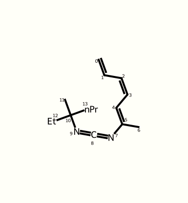 C=C/C=C\C=C(/C)N=C=NC(C)(CC)CCC